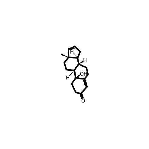 C[C@@]12C=CC[C@H]1[C@@H]1CCC3=CC(=O)CC[C@]3(O)[C@H]1CC2